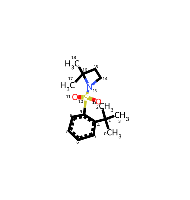 CC(C)(C)c1ccccc1S(=O)(=O)N1CCC1(C)C